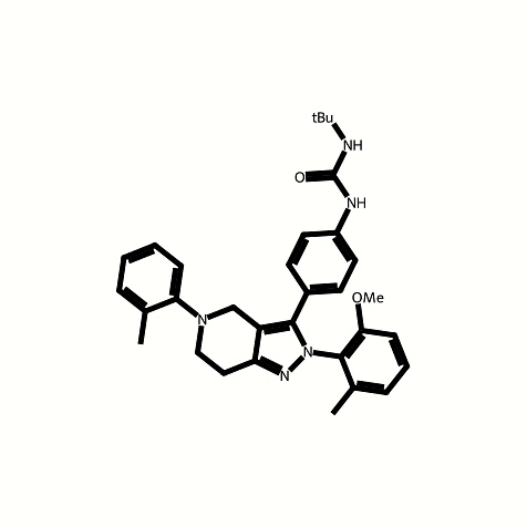 COc1cccc(C)c1-n1nc2c(c1-c1ccc(NC(=O)NC(C)(C)C)cc1)CN(c1ccccc1C)CC2